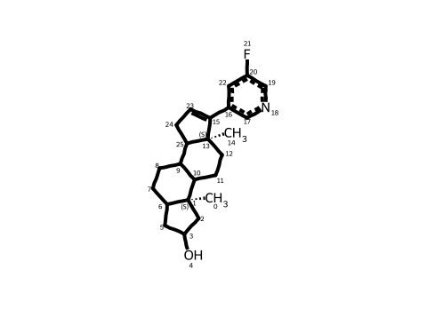 C[C@]12CC(O)CC1CCC1C2CC[C@]2(C)C(c3cncc(F)c3)=CCC12